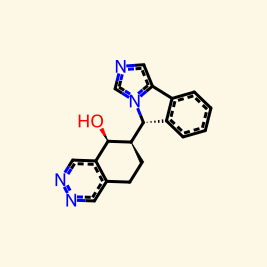 O[C@@H]1c2cnncc2CC[C@@H]1[C@H]1c2ccccc2-c2cncn21